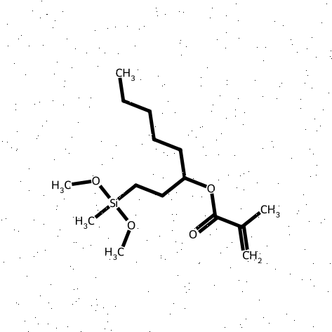 C=C(C)C(=O)OC(CCCCC)CC[Si](C)(OC)OC